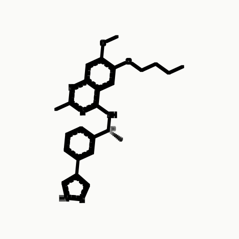 CCCCOc1cc2c(N[C@H](C)c3cccc(-c4cn[nH]c4)c3)nc(C)nc2cc1OC